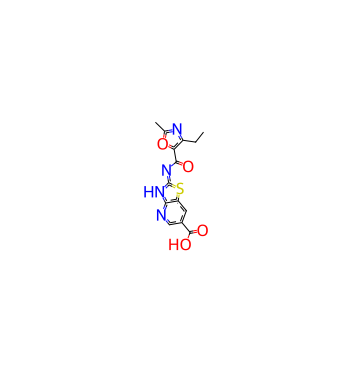 CCc1nc(C)oc1C(=O)N=c1[nH]c2ncc(C(=O)O)cc2s1